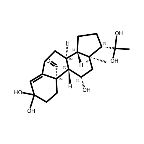 CC(O)(O)[C@H]1CC[C@H]2[C@@H]3CCC4=CC(O)(O)CC[C@]4(C=O)[C@H]3[C@@H](O)C[C@]12C